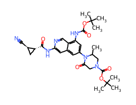 CC1CN(C(=O)OC(C)(C)C)CC(=O)N1c1cc(NC(=O)OC(C)(C)C)c2cnc(NC(=O)[C@@H]3C[C@H]3C#N)cc2c1